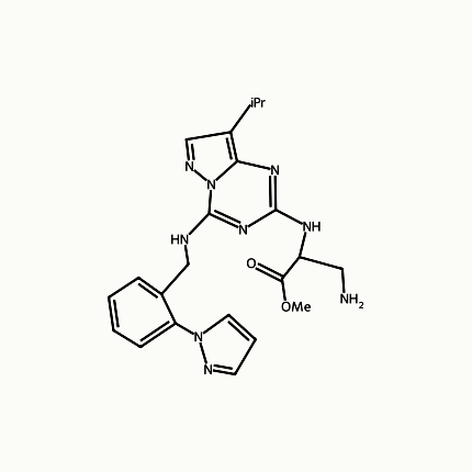 COC(=O)C(CN)Nc1nc(NCc2ccccc2-n2cccn2)n2ncc(C(C)C)c2n1